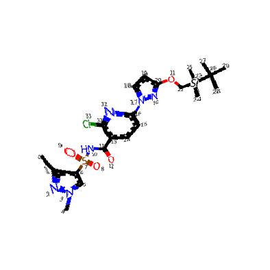 Cc1nn(C)cc1S(=O)(=O)NC(=O)c1ccc(-n2ccc(OC[Si](C)(C)C(C)(C)C)n2)nc1Cl